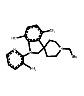 CC(C)(C)CN1CCC2(CC1)CN(c1ncccc1N)c1c(O)ccc(C(F)(F)F)c12